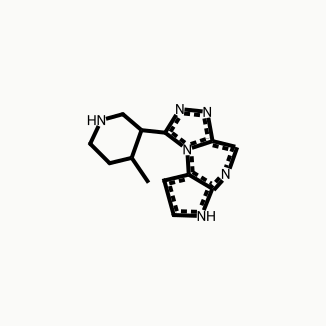 CC1CCNCC1c1nnc2cnc3[nH]ccc3n12